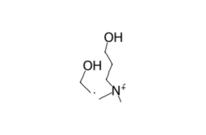 C[N+](C)(C)CCCO.[CH2]CO